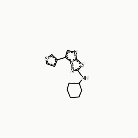 c1cc(-c2cnc3sc(NC4CCCCC4)nn23)cs1